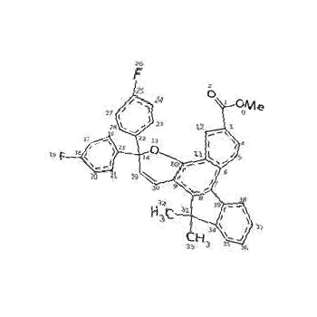 COC(=O)c1ccc2c3c(c4c(c2c1)OC(c1ccc(F)cc1)(c1ccc(F)cc1)C=C4)C(C)(C)c1ccccc1-3